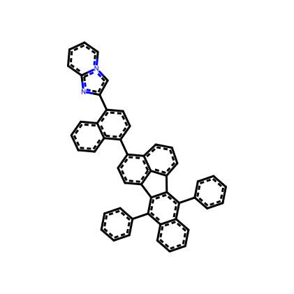 c1ccc(-c2c3c(c(-c4ccccc4)c4ccccc24)-c2ccc(-c4ccc(-c5cn6ccccc6n5)c5ccccc45)c4cccc-3c24)cc1